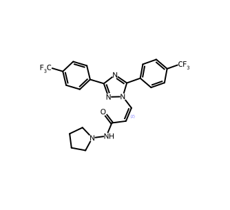 O=C(/C=C\n1nc(-c2ccc(C(F)(F)F)cc2)nc1-c1ccc(C(F)(F)F)cc1)NN1CCCC1